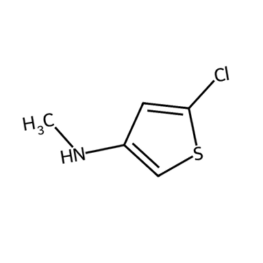 CNc1csc(Cl)c1